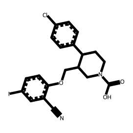 N#Cc1cc(I)ccc1OCC1CN(C(=O)O)CCC1c1ccc(Cl)cc1